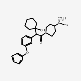 CC(C)(C)N(C(=O)O)C1CCN(C(=O)C(c2cccc(Oc3ccccc3)c2)C2(O)CCCCC2)CC1